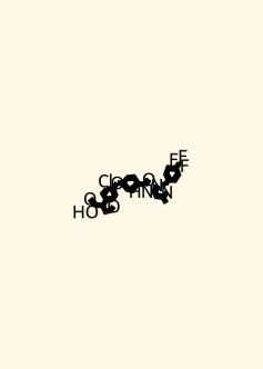 Cc1cc(NC(=O)c2ccc(Oc3cc4c(cc3Cl)C(C(=O)O)CCO4)cc2)nc(-c2ccc(C(F)(F)F)cc2)n1